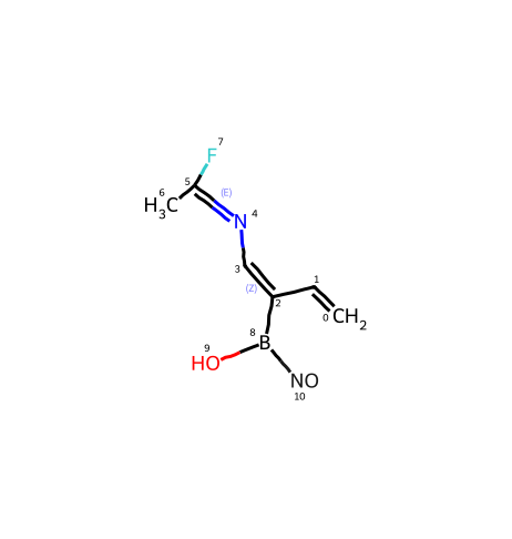 C=C/C(=C\N=C(/C)F)B(O)N=O